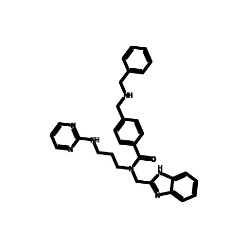 O=C(c1ccc(CNCc2ccccc2)cc1)N(CCCNc1ncccn1)Cc1nc2ccccc2[nH]1